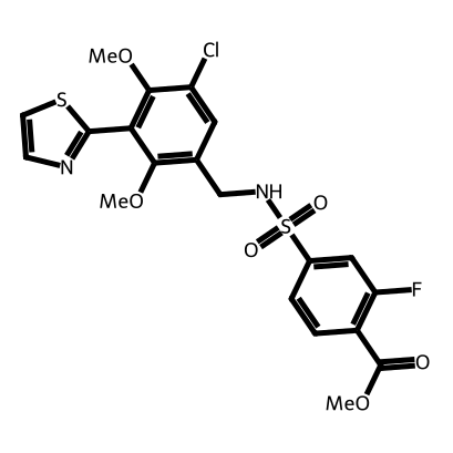 COC(=O)c1ccc(S(=O)(=O)NCc2cc(Cl)c(OC)c(-c3nccs3)c2OC)cc1F